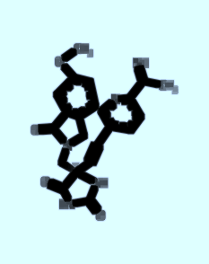 COc1ccc2c(c1)C(=O)N(C[C@@]1(C#Cc3ccc(C(C)=N)nc3)NC(=O)NC1=O)C2